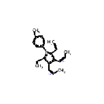 C=Cc1c(/C=C\C)c(/C=C\C)c(C=C)n1-c1ccc(C)cc1